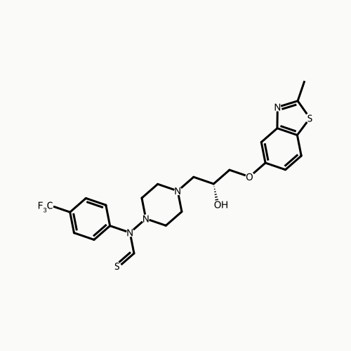 Cc1nc2cc(OC[C@H](O)CN3CCN(N(C=S)c4ccc(C(F)(F)F)cc4)CC3)ccc2s1